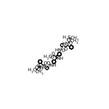 COC(=O)c1c(-c2ccc(NC(=O)[C@@H]3CCCN3C(=O)C(NC(=O)OC(C)(C)C)c3ccccc3)cc2)[nH]c2ccc(NC(=O)[C@@H]3CCCN3C(=O)C(NC(=O)OC(C)(C)C)c3ccccc3)cc12